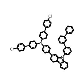 Clc1ccc(-c2ccc(N(c3ccc(-c4ccc(Cl)cc4)cc3)c3ccc(-c4ccc5c6ccccc6n(-c6cccc(-c7cccc(-c8ccccc8)c7)c6)c5c4)cc3)cc2)cc1